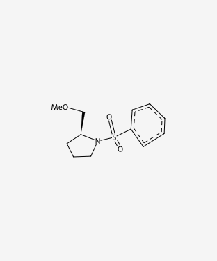 COC[C@@H]1CCCN1S(=O)(=O)c1ccccc1